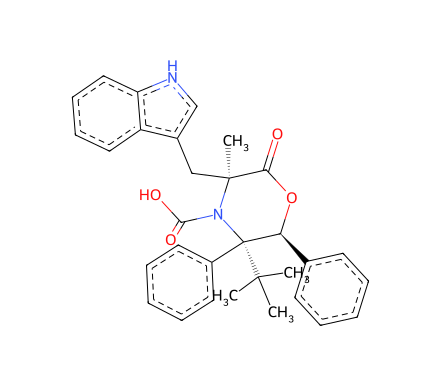 CC(C)(C)[C@@]1(c2ccccc2)[C@H](c2ccccc2)OC(=O)[C@](C)(Cc2c[nH]c3ccccc23)N1C(=O)O